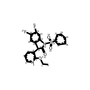 CCOc1ncccc1[C]1C(=O)N(S(=O)(=O)c2ccccc2)c2cc(F)c(F)cc21